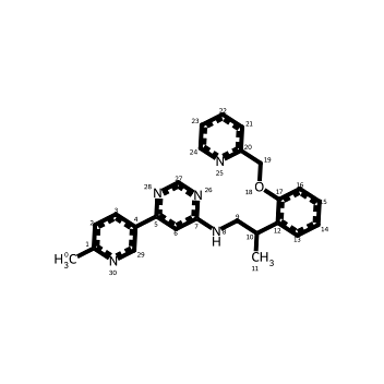 Cc1ccc(-c2cc(NCC(C)c3ccccc3OCc3ccccn3)ncn2)cn1